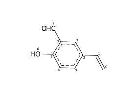 C=Cc1ccc(O)c(C=O)c1